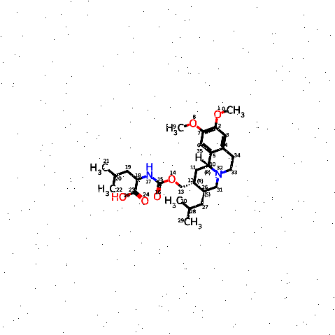 COc1cc2c(cc1OC)[C@H]1C[C@@H](COC(=O)NC(CC(C)C)C(=O)O)[C@H](CC(C)C)CN1CC2